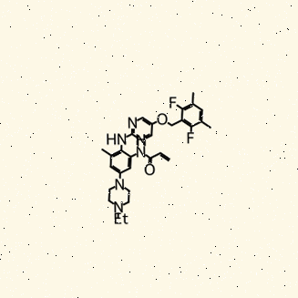 C=CC(=O)Nc1cc(N2CCN(CC)CC2)cc(C)c1Nc1ncc(OCc2c(F)c(C)cc(C)c2F)cn1